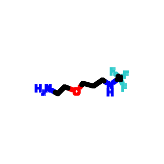 NCCOCCCNC(F)(F)F